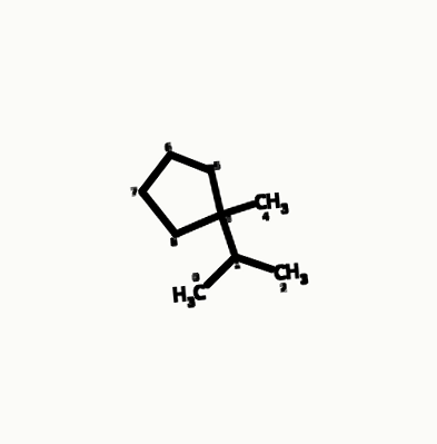 CC(C)C1(C)[C]CCC1